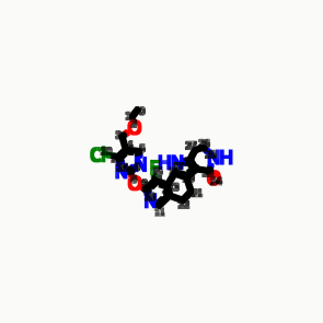 CCOCc1cnc(Oc2ncc3c(c2F)-c2[nH]c4c(c2CC3)C(=O)NCC4)nc1Cl